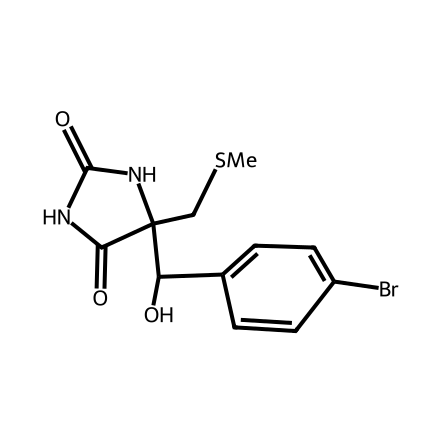 CSCC1(C(O)c2ccc(Br)cc2)NC(=O)NC1=O